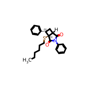 CCCCCCS[C@]12C(=O)N(c3ccccc3)C(=O)[C@H]1C[C@H]2c1ccccc1